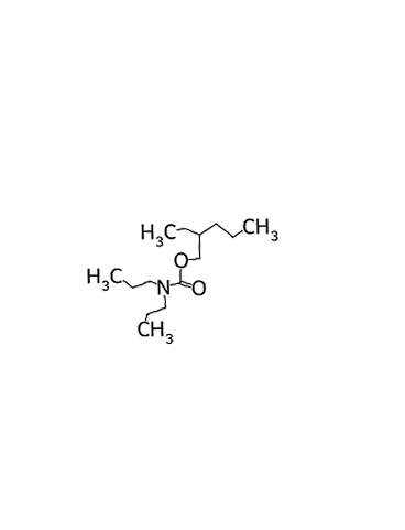 CCCC(CC)COC(=O)N(CCC)CCC